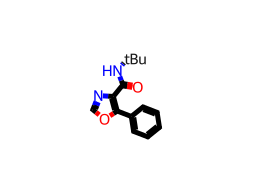 CC(C)(C)NC(=O)c1ncoc1-c1ccccc1